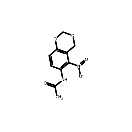 CC(=O)Nc1ccc2c(c1[N+](=O)[O-])COCO2